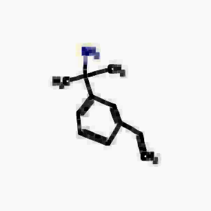 C=Cc1cccc(C(C)(C)N)c1